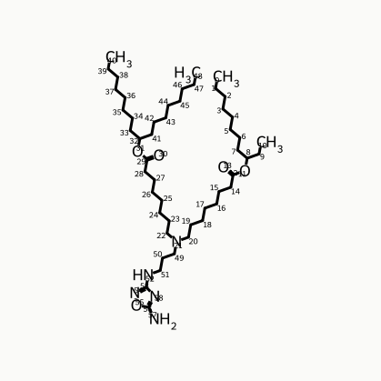 CCCCCCCCC(CC)OC(=O)CCCCCCCN(CCCCCCCC(=O)OC(CCCCCCCC)CCCCCCCC)CCCNc1noc(N)n1